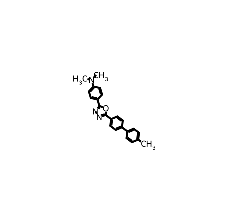 Cc1ccc(-c2ccc(-c3nnc(-c4ccc(N(C)C)cc4)o3)cc2)cc1